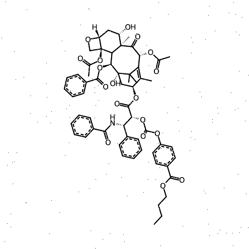 CCCCOC(=O)c1ccc(OC(=O)O[C@@H](C(=O)O[C@H]2C[C@@]3(O)[C@@H](OC(=O)c4ccccc4)C4[C@](C)(C(=O)[C@H](OC(C)=O)C(=C2C)C3(C)C)[C@@H](O)C[C@H]2OC[C@@]42OC(C)=O)[C@@H](NC(=O)c2ccccc2)c2ccccc2)cc1